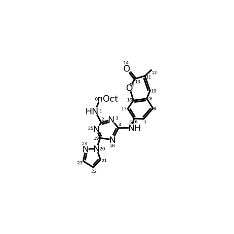 CCCCCCCCNc1nc(Nc2ccc3cc(C)c(=O)oc3c2)nc(-n2cccn2)n1